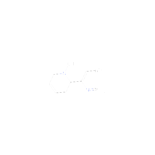 C=N/C(=C\CCC)C1CC=CCN1C